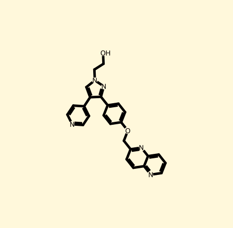 OCCn1cc(-c2ccncc2)c(-c2ccc(OCc3ccc4ncccc4n3)cc2)n1